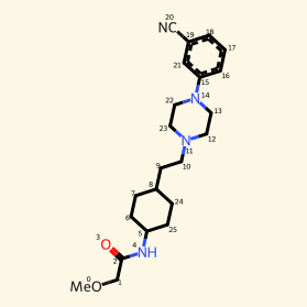 COCC(=O)NC1CCC(CCN2CCN(c3cccc(C#N)c3)CC2)CC1